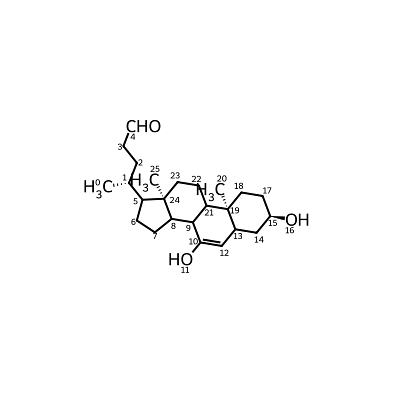 C[C@H](CCC=O)C1CCC2C3C(O)=CC4C[C@H](O)CC[C@]4(C)C3CC[C@@]21C